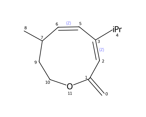 C=C1/C=C(C(C)C)\C=C/C(C)CCO1